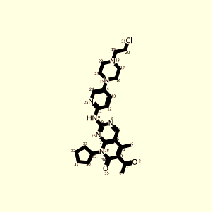 CC(=O)c1c(C)c2cnc(Nc3ccc(N4CCN(CCCl)CC4)cn3)nc2n(C2CCCC2)c1=O